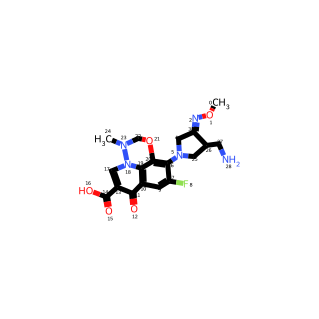 CO/N=C1/CN(c2c(F)cc3c(=O)c(C(=O)O)cn4c3c2OCN4C)CC1CN